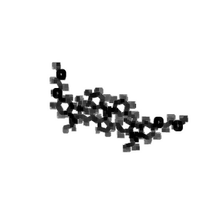 CCN1/C(=C/C=C2\CCC(/C=C/C3=[N+](CC)c4ccc(OCCOC)cc4C3(C)C)=C2N(c2ccccc2)c2ccccc2)C(C)(C)c2cc(OCCOC)ccc21